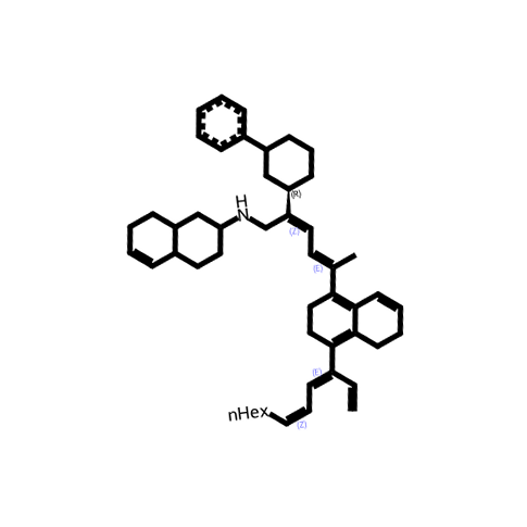 C=C/C(=C\C=C/CCCCCC)C1=C2CCC=CC2=C(/C(C)=C/C=C(\CNC2CCC3C=CCCC3C2)[C@@H]2CCCC(c3ccccc3)C2)CC1